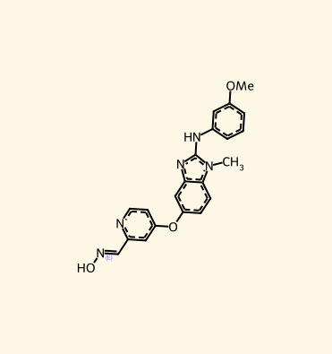 COc1cccc(Nc2nc3cc(Oc4ccnc(/C=N/O)c4)ccc3n2C)c1